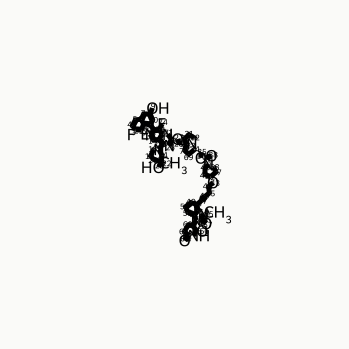 CCc1c(F)ccc2cc(O)cc(-c3ncc4c(N5CCC[C@@](C)(O)C5)nc(OC[C@@]56CCCN5[C@H](COC(=O)N5CCC(OCCC#Cc7cccc8c7n(C)c(=O)n8C7CCC(=O)NC7=O)CC5)CC6)nc4c3F)c12